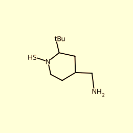 CC(C)(C)C1CC(CN)CCN1S